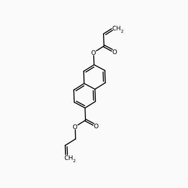 C=CCOC(=O)c1ccc2cc(OC(=O)C=C)ccc2c1